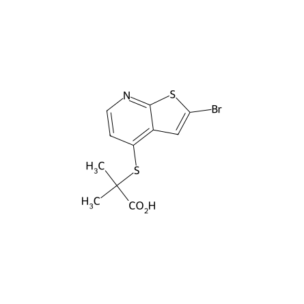 CC(C)(Sc1ccnc2sc(Br)cc12)C(=O)O